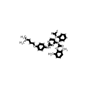 Cc1cccc(C)c1OC(=O)N(c1ccnc(Nc2ccc(OCCCN(C)C)cc2)n1)c1ccccc1OC(F)F